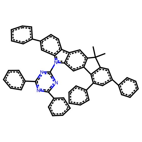 CC1(C)c2cc3c4ccc(-c5ccccc5)cc4n(-c4nc(-c5ccccc5)nc(-c5ccccc5)n4)c3cc2-c2c(-c3ccccc3)cc(-c3ccccc3)cc21